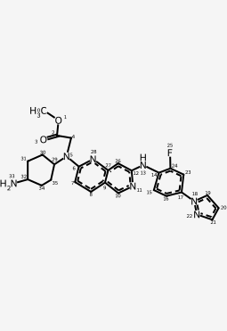 COC(=O)CN(c1ccc2cnc(Nc3ccc(-n4cccn4)cc3F)cc2n1)C1CCC(N)CC1